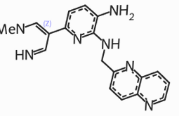 CN/C=C(\C=N)c1ccc(N)c(NCc2ccc3ncccc3n2)n1